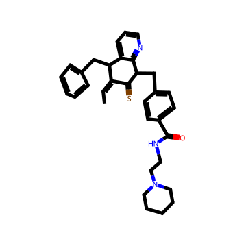 CC=C1C(=S)C(Cc2ccc(C(=O)NCCN3CCCCC3)cc2)c2ncccc2C1Cc1ccccc1